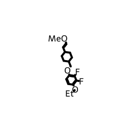 CCOc1ccc(OCC2CCC(/C=C/OC)CC2)c(F)c1F